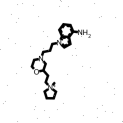 C[N+]1(CCC2CN(CCCn3ccc4c(N)cccc43)CCO2)CCCC1